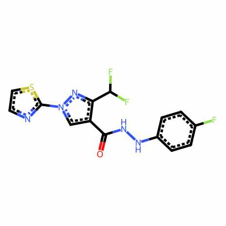 O=C(NNc1ccc(F)cc1)c1cn(-c2nccs2)nc1C(F)F